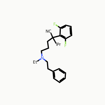 CCN(CCCC(C#N)(c1c(F)cccc1F)C(C)C)CCc1ccccc1